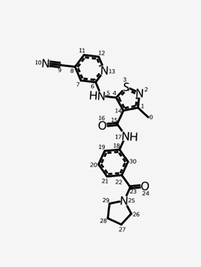 Cc1nsc(Nc2cc(C#N)ccn2)c1C(=O)Nc1cccc(C(=O)N2CCCC2)c1